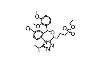 CCOS(=O)(=O)CCCC1OC(c2cccc(OC)c2OC)c2cc(Cl)ccc2-n2c(C(C)C)nnc21